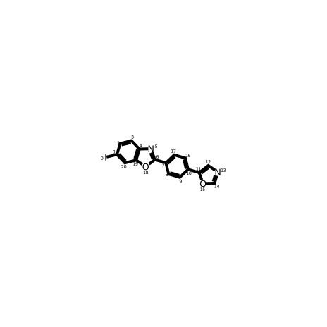 Ic1ccc2nc(-c3ccc(-c4cnco4)cc3)oc2c1